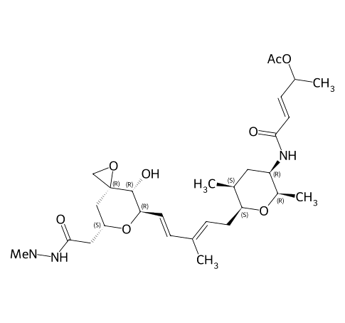 CNNC(=O)C[C@@H]1C[C@@]2(CO2)[C@H](O)[C@@H](C=CC(C)=CC[C@@H]2O[C@H](C)[C@H](NC(=O)C=CC(C)OC(C)=O)C[C@@H]2C)O1